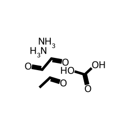 CC=O.N.N.O=C(O)O.O=CC=O